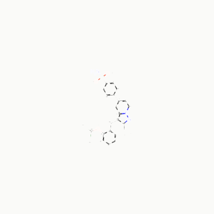 Cc1nn2ccc(-c3ccc(S(N)(=O)=O)cc3)cc2c1Cc1ccccc1OC(F)F